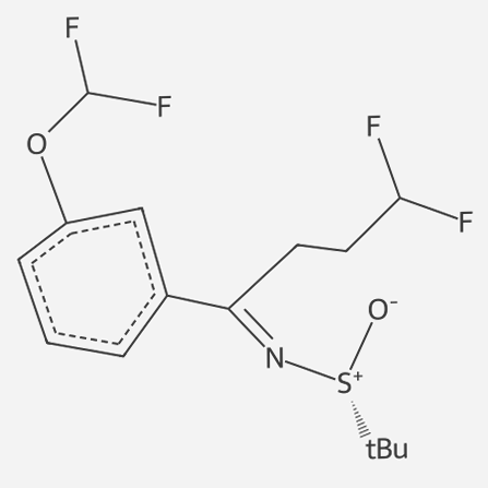 CC(C)(C)[S@@+]([O-])/N=C(\CCC(F)F)c1cccc(OC(F)F)c1